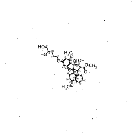 COC(=O)C1[C@@H](O)[C@@]2(O)c3c(OC)cc(OCCCC(O)CO)cc3O[C@@]2(c2ccc(OC)cc2)[C@@H]1c1ccccc1